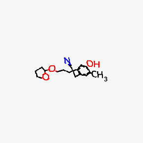 Cc1cc2c(cc1O)C(C#N)(CCCOC1CCCCO1)C2